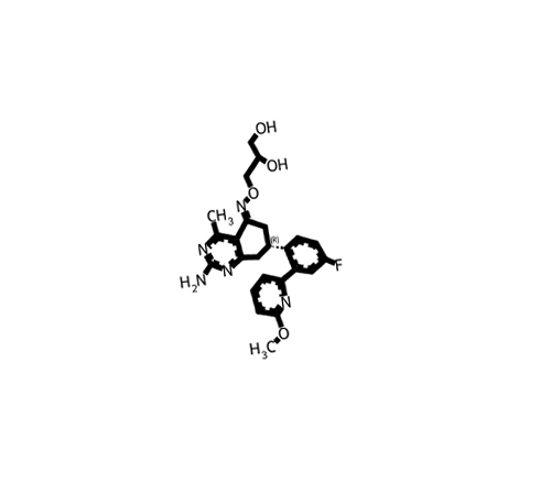 COc1cccc(-c2cc(F)ccc2[C@H]2CC(=NOCC(O)CO)c3c(C)nc(N)nc3C2)n1